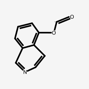 O=[C]Oc1cccc2cnccc12